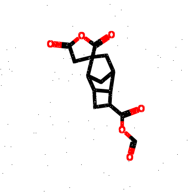 O=COC(=O)C1CC2C1C1CC2C2(CC(=O)OC2=O)C1